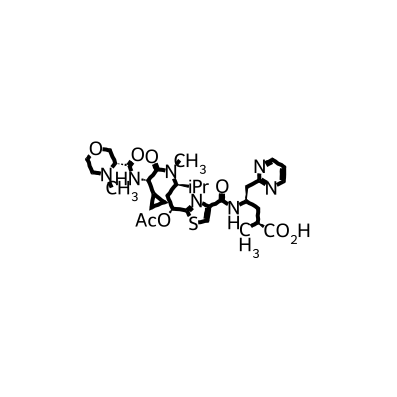 CC(=O)O[C@H](C[C@H](C(C)C)N(C)C(=O)[C@@H](NC(=O)[C@H]1COCCN1C)C1CC1)c1nc(C(=O)N[C@@H](Cc2ncccn2)C[C@H](C)C(=O)O)cs1